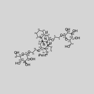 CCC[C@@H](C)[C@H]1CC[C@H]2[C@@H]3[C@H](OCCO[C@@H]4OC(CO)[C@@H](O)[C@H](O)C4O)C[C@@H]4CCCC[C@]4(C)[C@H]3C[C@H](OCCO[C@@H]3OC(CO)[C@@H](O)[C@H](O)C3O)[C@]12C